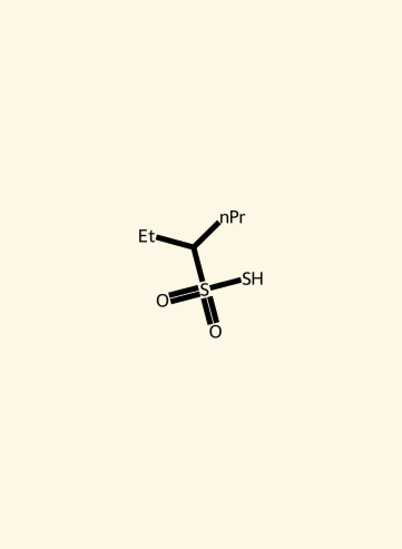 CCCC(CC)S(=O)(=O)S